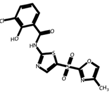 Cc1coc(S(=O)(=O)c2cnc(NC(=O)c3cccc(Cl)c3O)s2)n1